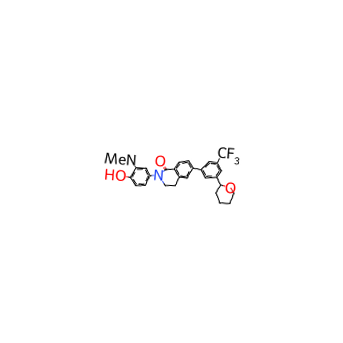 CNc1cc(N2CCc3cc(-c4cc(C5CCCCO5)cc(C(F)(F)F)c4)ccc3C2=O)ccc1O